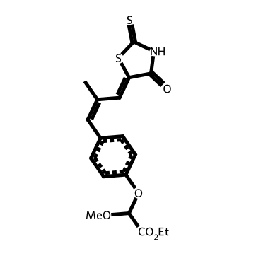 CCOC(=O)C(OC)Oc1ccc(C=C(C)C=C2SC(=S)NC2=O)cc1